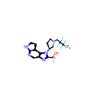 C[C@@H](O)c1nc2cnc3[nH]ccc3c2n1[C@H]1CCN(CC(F)(F)C(F)(F)C(F)(F)F)C1